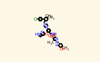 Cc1cc(S(=O)(=O)NC(=O)c2ccc(N3CCN(CC4=C(c5ccc(Cl)cc5)CC(C)(C)CC4)CC3)cc2Oc2cnc3[nH]ccc3c2)cnc1NC[C@H]1CC[C@@](C)(O)CC1